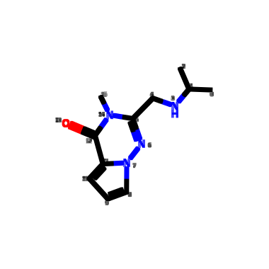 CC(C)NCc1nn2cccc2c(=O)n1C